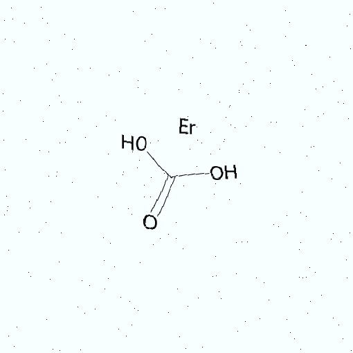 O=C(O)O.[Er]